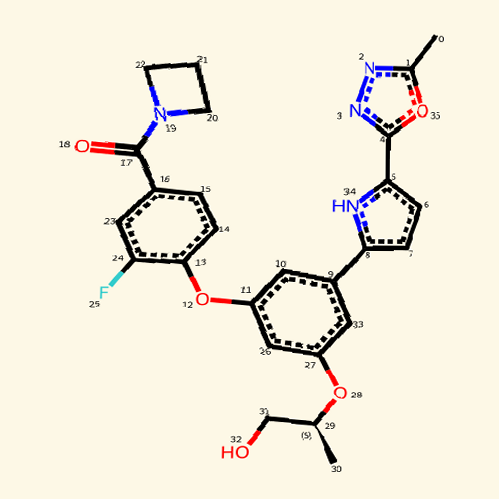 Cc1nnc(-c2ccc(-c3cc(Oc4ccc(C(=O)N5CCC5)cc4F)cc(O[C@@H](C)CO)c3)[nH]2)o1